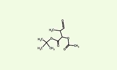 CC(=O)OC(C(=O)OC(C)(C)C)C(C)C=O